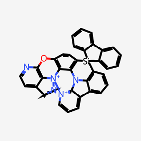 c1ccc2c(c1)-c1ccccc1[Si]21c2ccc3c4c2-n2c5c1cccc5c1ccc[n+](c12)[N+]41c2c(ccnc2O3)-c2cccc[n+]21